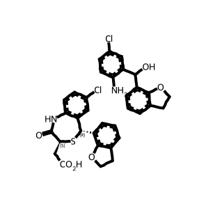 Nc1ccc(Cl)cc1C(O)c1cccc2c1OCC2.O=C(O)C[C@@H]1S[C@@H](c2cccc3c2OCC3)c2cc(Cl)ccc2NC1=O